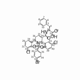 O=C(N[C@@H](Cc1ccccc1)C(=O)O)C1=CC[C@@H](c2cccc(Cl)c2)N(S(=O)(=O)c2ccc(Br)cc2)[C@H]1c1cccc(Cl)c1